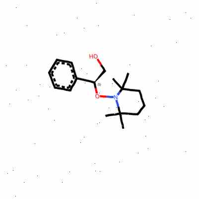 CC1(C)CCCC(C)(C)N1O[C@H](CO)c1ccccc1